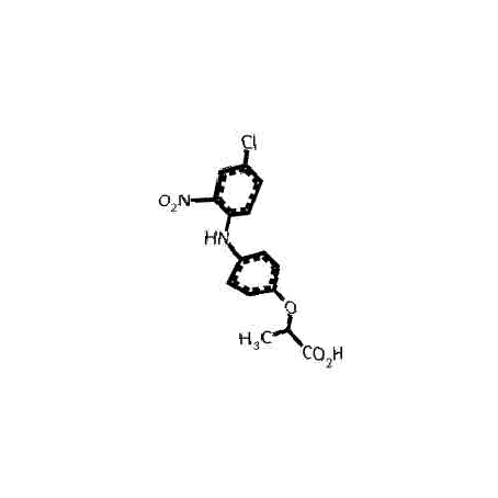 CC(Oc1ccc(Nc2ccc(Cl)cc2[N+](=O)[O-])cc1)C(=O)O